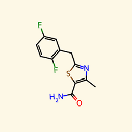 Cc1nc(Cc2cc(F)ccc2F)sc1C(N)=O